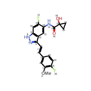 COc1cc(/C=C/c2n[nH]c3cc(F)c(NC(=O)C4(O)CC4)cc23)ccc1F